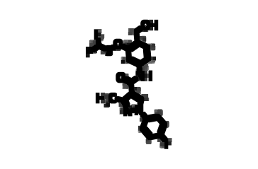 Cc1nn(-c2ccc(F)cc2)cc1C(=O)Nc1ccc(CO)c(OSC(F)F)c1